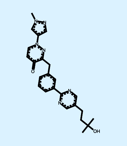 Cn1cc(-n2ccc(=O)c(Cc3cccc(-c4ncc(CCC(C)(C)O)cn4)c3)n2)cn1